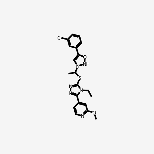 CCn1c(SC(C)N2C=C(c3cccc(Cl)c3)ON2)nnc1-c1ccnc(OC)c1